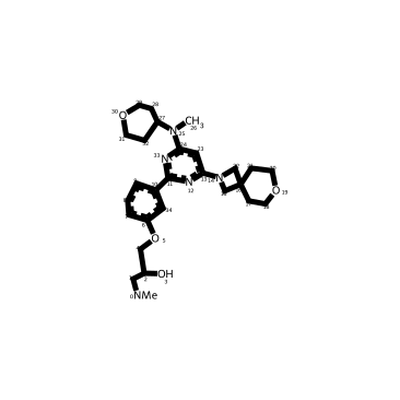 CNCC(O)COc1cccc(-c2nc(N3CC4(CCOCC4)C3)cc(N(C)C3CCOCC3)n2)c1